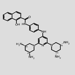 N[C@@H]1C[C@H](N)CN(c2cc(Nc3ccc(NC(=O)c4ccc5ccccc5c4O)cc3)cc(N3C[C@H](N)C[C@H](N)C3)n2)C1